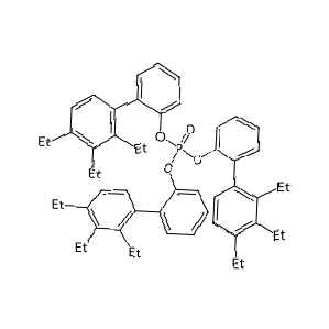 CCc1ccc(-c2ccccc2OP(=O)(Oc2ccccc2-c2ccc(CC)c(CC)c2CC)Oc2ccccc2-c2ccc(CC)c(CC)c2CC)c(CC)c1CC